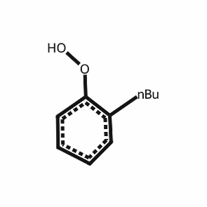 CCCCc1ccccc1OO